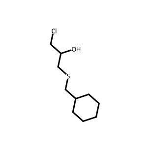 OC(CCl)CSCC1CCCCC1